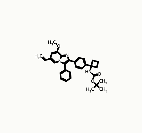 C=Cc1cc(OC)c2nc(-c3ccc(C4(NC(=O)OC(C)(C)C)CCC4)cc3)c(-c3ccccc3)n2c1